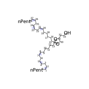 CCCCC/C=C\C/C=C\C/C=C\CCCCCC1(CCCCC/C=C\C/C=C\C/C=C\CCCCC)OCC(CCO)O1